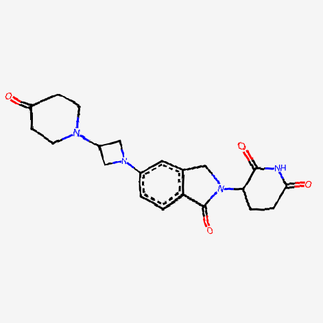 O=C1CCN(C2CN(c3ccc4c(c3)CN(C3CCC(=O)NC3=O)C4=O)C2)CC1